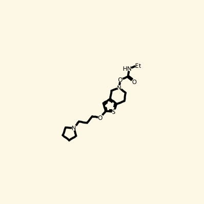 CCNC(=O)ON1CCc2sc(OCCCN3CCCC3)cc2C1